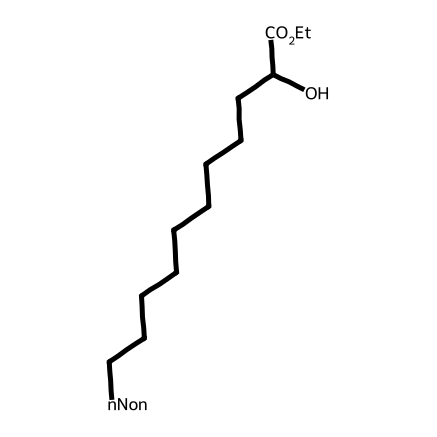 CCCCCCCCCCCCCCCCCCC(O)C(=O)OCC